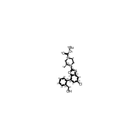 C[C@H]1CN(C(=O)OC(C)(C)C)CCN1c1nc2cc(Cl)cc(-c3ccccc3CO)c2o1